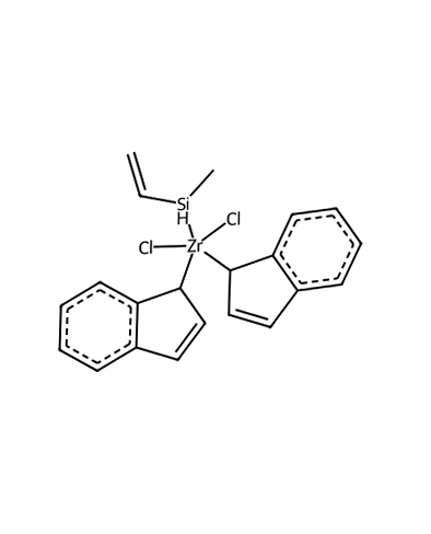 C=C[SiH](C)[Zr]([Cl])([Cl])([CH]1C=Cc2ccccc21)[CH]1C=Cc2ccccc21